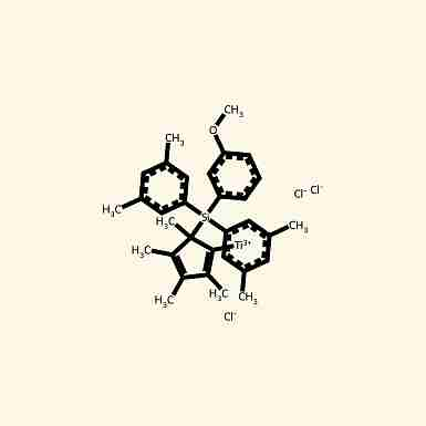 COc1cccc([Si](c2cc(C)cc(C)c2)(c2cc(C)cc(C)c2)C2(C)C(C)=C(C)C(C)=[C]2[Ti+3])c1.[Cl-].[Cl-].[Cl-]